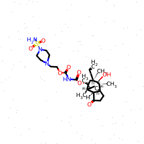 C=C[C@]1(C)C[C@@H](OC(=O)NC(=O)OCCN2CCN(S(N)(=O)=O)CC2)[C@]2(C)[C@H](C)CC[C@]3(CCC(=O)[C@H]32)[C@@H](C)[C@@H]1O